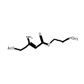 CCCCCCCCCCOC(=O)C=C(N)COC(C)=O